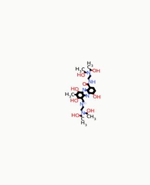 Cc1c(O)c(/C=N/CCN(C(C)O)C(C)O)c2nc3c(O)ccc(C(=O)NCCN(C(C)O)C(C)O)c3nc2c1O